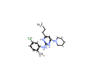 CCCc1cc(N2CCCCC2)nc(Nc2cc(Cl)ccc2C)n1